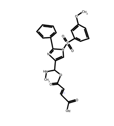 CNC(OC(=O)/C=C/C(=O)O)c1cn(S(=O)(=O)c2cccc(OC)c2)c(-c2ccccc2)n1